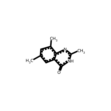 Cc1cc(C)c2nc(C)[nH]c(=O)c2c1